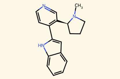 CN1CCC[C@H]1c1cnccc1-c1cc2ccccc2[nH]1